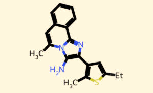 CCc1cc(-c2nc3c4ccccc4cc(C)n3c2N)c(C)s1